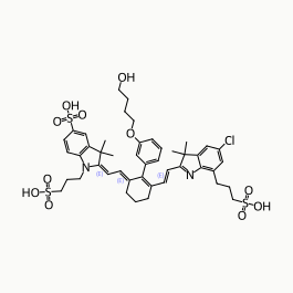 CC1(C)C(/C=C/C2=C(c3cccc(OCCCCO)c3)C(=C/C=C3/N(CCCS(=O)(=O)O)c4ccc(S(=O)(=O)O)cc4C3(C)C)/CCC2)=Nc2c(CCCS(=O)(=O)O)cc(Cl)cc21